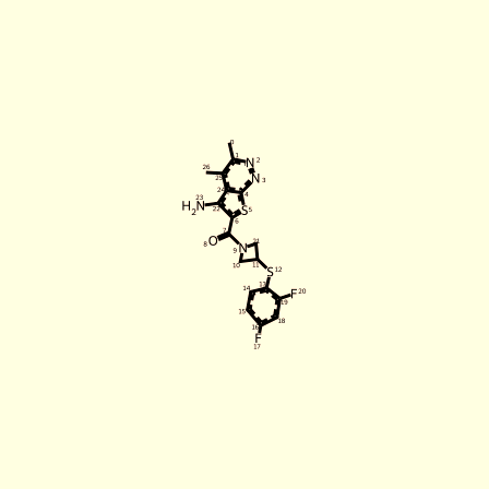 Cc1nnc2sc(C(=O)N3CC(Sc4ccc(F)cc4F)C3)c(N)c2c1C